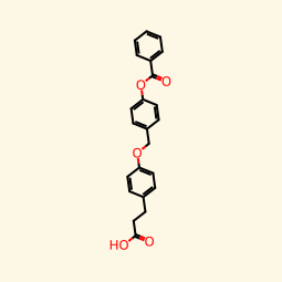 O=C(O)CCc1ccc(OCc2ccc(OC(=O)c3ccccc3)cc2)cc1